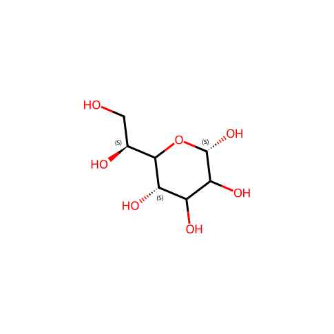 OC[C@H](O)C1O[C@H](O)C(O)C(O)[C@@H]1O